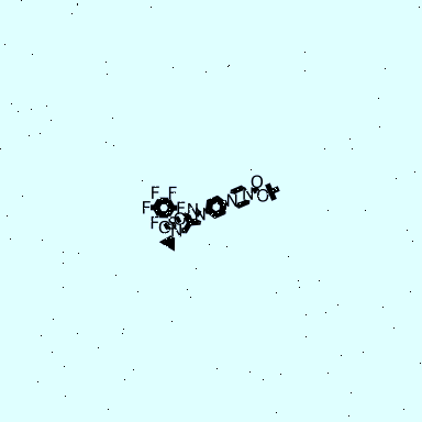 CC(C)(C)OC(=O)N1CCN(c2ccc(-n3cc(CN(C4CC4)S(=O)(=O)c4c(F)c(F)c(F)c(F)c4F)cn3)cc2)CC1